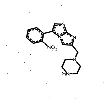 O=[N+]([O-])c1ccccc1-c1csc2nc(CN3CCNCC3)cn12